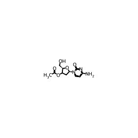 CC(=O)OC1C[C@H](n2ccc(N)nc2=O)O[C@@H]1CO